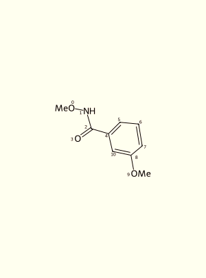 CONC(=O)c1cccc(OC)c1